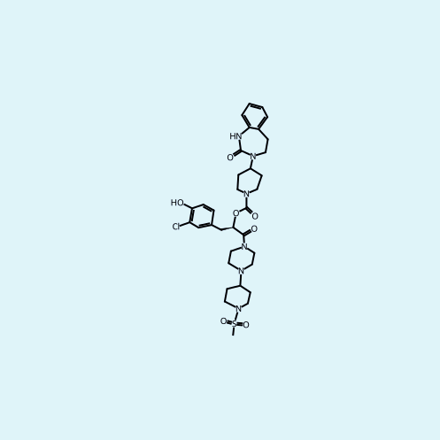 CS(=O)(=O)N1CCC(N2CCN(C(=O)[C@@H](Cc3ccc(O)c(Cl)c3)OC(=O)N3CCC(N4CCc5ccccc5NC4=O)CC3)CC2)CC1